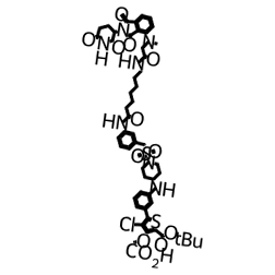 CN(CC(=O)NCCCCCCC(=O)Nc1cccc(CS(=O)(=O)N2CCC(Nc3cccc(-c4sc(C(=O)OC(C)(C)C)c(OCC(=O)O)c4Cl)c3)CC2)c1)c1cccc2c1C(=O)N(C1CCC(=O)NC1=O)C2=O